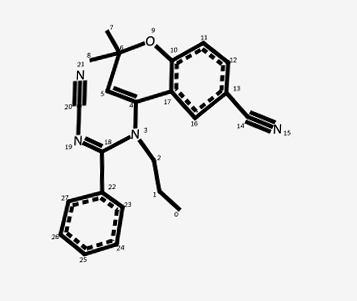 CCCN(C1=CC(C)(C)Oc2ccc(C#N)cc21)/C(=N\C#N)c1ccccc1